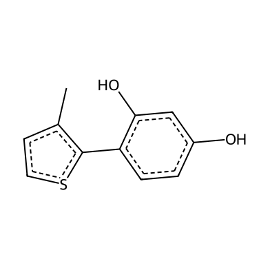 Cc1ccsc1-c1ccc(O)cc1O